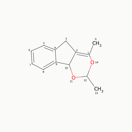 CC1=C2Cc3ccccc3C2OC(C)O1